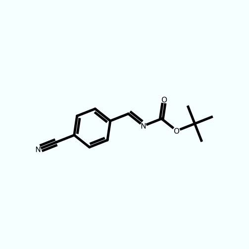 CC(C)(C)OC(=O)N=Cc1ccc(C#N)cc1